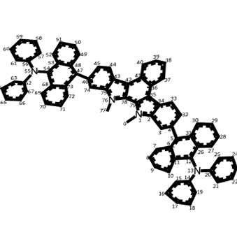 Cn1c2cc(-c3c4ccccc4c(N(c4ccccc4)c4ccccc4)c4ccccc34)ccc2c2c3ccccc3c3c4ccc(-c5c6ccccc6c(N(c6ccccc6)c6ccccc6)c6ccccc56)cc4n(C)c3c21